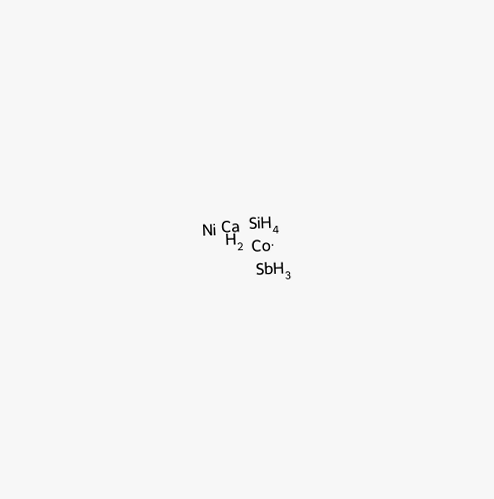 [CaH2].[Co].[Ni].[SbH3].[SiH4]